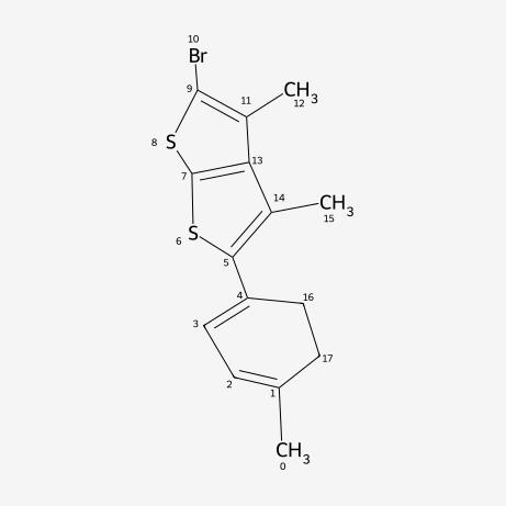 CC1=CC=C(c2sc3sc(Br)c(C)c3c2C)CC1